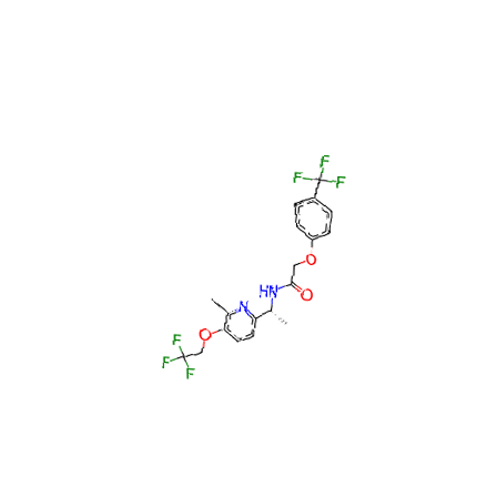 Cc1nc([C@@H](C)NC(=O)COc2ccc(C(F)(F)F)cc2)ccc1OCC(F)(F)F